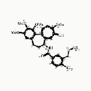 COc1cc2c(c(OC)c1OC)-c1ccc(SC)c(=O)cc1[C@@H](NC(=O)c1ccc([N+](=O)[O-])c(CO[N+](=O)[O-])c1)CC2